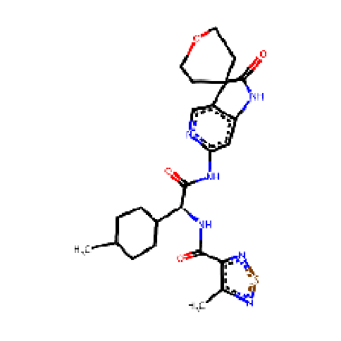 Cc1nsnc1C(=O)N[C@H](C(=O)Nc1cc2c(cn1)C1(CCOCC1)C(=O)N2)C1CCC(C)CC1